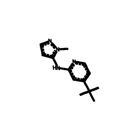 Cn1nccc1Nc1cc(C(C)(C)C)ccn1